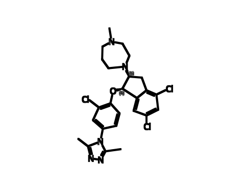 Cc1nnc(C)n1-c1ccc(O[C@@H]2c3cc(Cl)cc(Cl)c3C[C@@H]2N2CCCN(C)CC2)c(Cl)c1